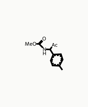 COC(=O)NC(C(C)=O)c1ccc(C)cc1